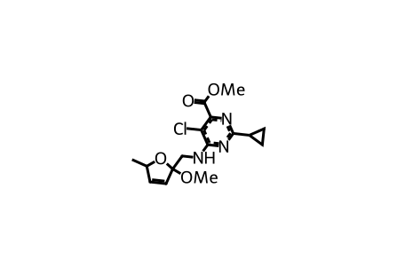 COC(=O)c1nc(C2CC2)nc(NCC2(OC)C=CC(C)O2)c1Cl